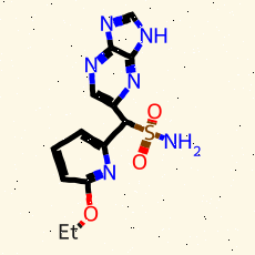 CCOc1cccc(C(c2cnc3nc[nH]c3n2)S(N)(=O)=O)n1